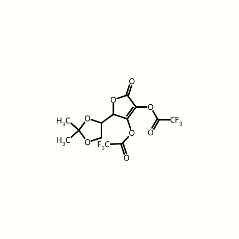 CC1(C)OCC(C2OC(=O)C(OC(=O)C(F)(F)F)=C2OC(=O)C(F)(F)F)O1